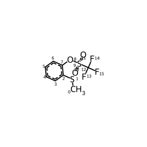 CSc1ccccc1OS(=O)(=O)C(F)(F)F